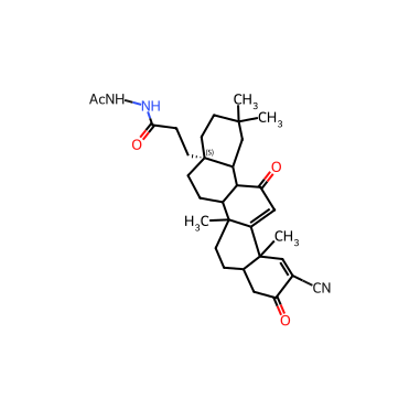 CC(=O)NNC(=O)CC[C@@]12CCC3C(C(=O)C=C4C5(C)C=C(C#N)C(=O)CC5CCC43C)C1CC(C)(C)CC2